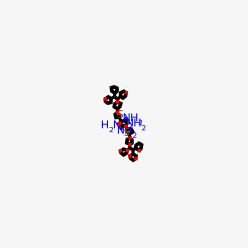 Nc1c(N)c(-c2ccc(-c3ccc(C(=C(c4ccccc4)c4ccccc4)c4ccccc4)cc3)s2)c(N)c(N)c1-c1ccc(-c2ccc(C(=C(c3ccccc3)c3ccccc3)c3ccccc3)cc2)s1